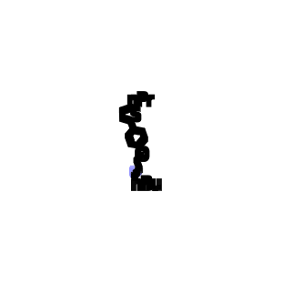 CCCC/C=C/COc1ccc(-c2ccc(CCC)s2)cc1